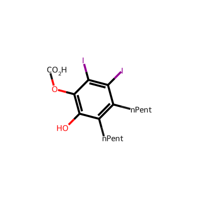 CCCCCc1c(O)c(OC(=O)O)c(I)c(I)c1CCCCC